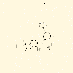 CNC.O=S(=O)(O)c1ccc2c(c1)CCN2c1cccc(-c2cccs2)c1